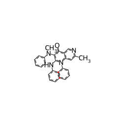 Cc1cc2c(cn1)c(=O)c(N(C)c1ccccc1)c(Nc1ccccc1)n2-c1ccccc1